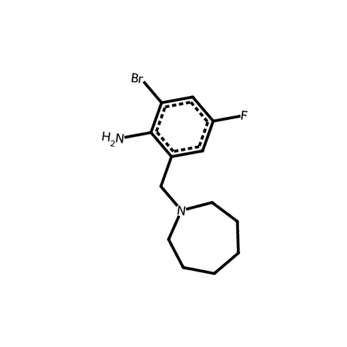 Nc1c(Br)cc(F)cc1CN1CCCCCC1